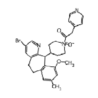 COc1cc(C)cc2c1C(C1CC[N+]([O-])(C(=O)Cc3ccncc3)CC1)c1ncc(Br)cc1CC2